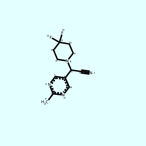 Cc1ncc(C(C#N)N2CCC(F)(F)CC2)cn1